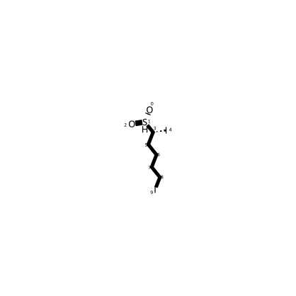 O=[SH](=O)[C@H](I)CCCCI